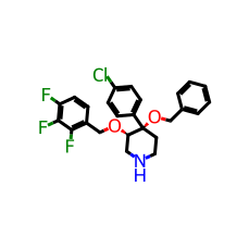 Fc1ccc(CO[C@@H]2CNCC[C@@]2(OCc2ccccc2)c2ccc(Cl)cc2)c(F)c1F